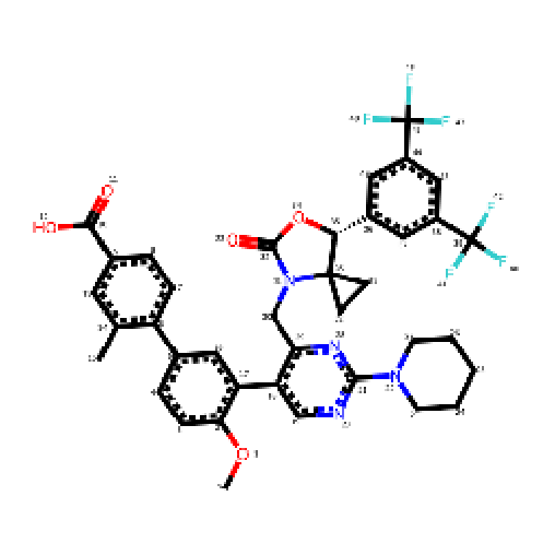 COc1ccc(-c2ccc(C(=O)O)cc2C)cc1-c1cnc(N2CCCCC2)nc1CN1C(=O)O[C@H](c2cc(C(F)(F)F)cc(C(F)(F)F)c2)C12CC2